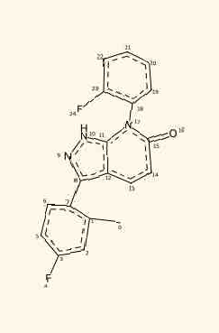 Cc1cc(F)ccc1-c1n[nH]c2c1ccc(=O)n2-c1ccccc1F